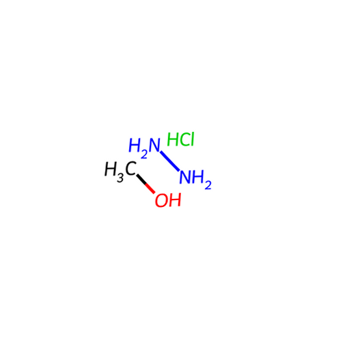 CO.Cl.NN